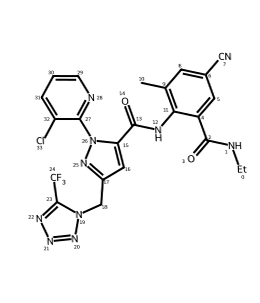 CCNC(=O)c1cc(C#N)cc(C)c1NC(=O)c1cc(Cn2nnnc2C(F)(F)F)nn1-c1ncccc1Cl